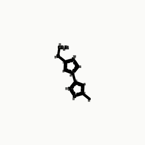 CCOC(=O)Oc1cn(-c2cc(C)on2)cn1